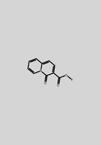 O=C(OF)c1ccc2ccccn2c1=O